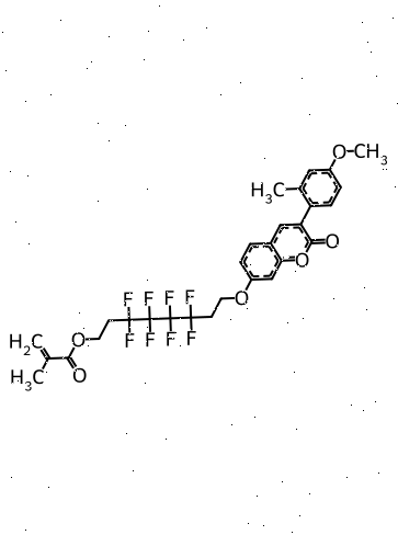 C=C(C)C(=O)OCCC(F)(F)C(F)(F)C(F)(F)C(F)(F)CCOc1ccc2cc(-c3ccc(OC)cc3C)c(=O)oc2c1